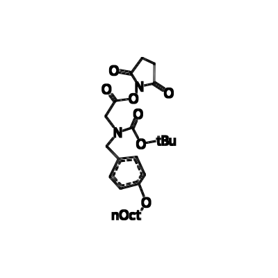 CCCCCCCCOc1ccc(CN(CC(=O)ON2C(=O)CCC2=O)C(=O)OC(C)(C)C)cc1